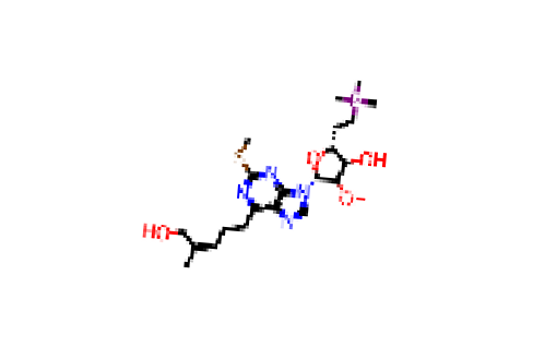 C=P(C)(C)CC[C@H]1O[C@@H](n2cnc3c(CC/C=C(/C)CO)nc(SC)nc32)[C@H](O)[C@@H]1O